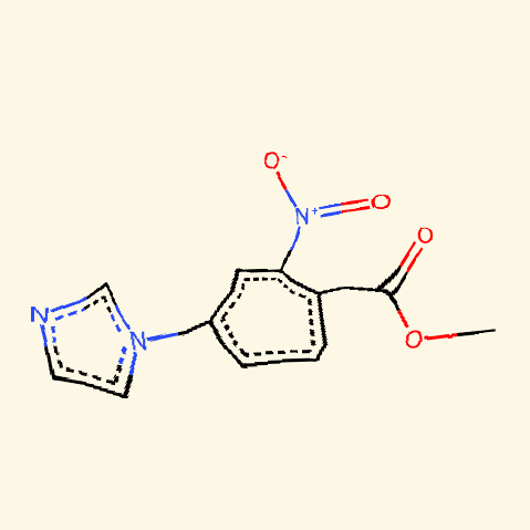 COC(=O)c1ccc(-n2ccnc2)cc1[N+](=O)[O-]